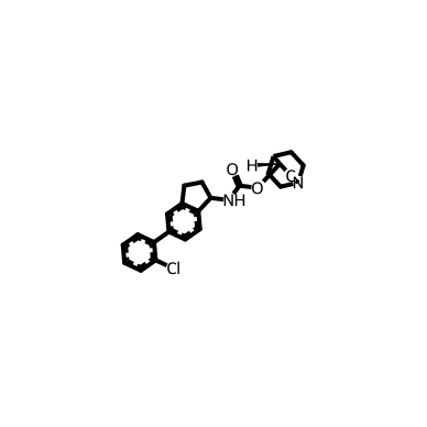 O=C(NC1CCc2cc(-c3ccccc3Cl)ccc21)O[C@H]1CN2CCC1CC2